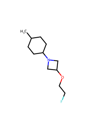 CC1CCC(N2CC(OCCF)C2)CC1